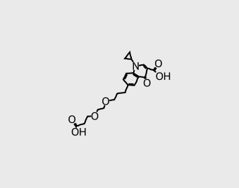 O=C(O)CCOCCOCCCc1ccc2c(c1)c(=O)c(C(=O)O)cn2C1CC1